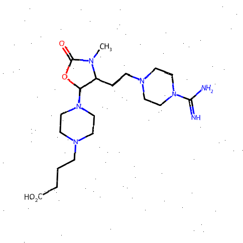 CN1C(=O)OC(N2CCN(CCCC(=O)O)CC2)C1CCN1CCN(C(=N)N)CC1